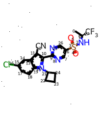 C[C@H](NS(=O)(=O)c1cnc(-c2c(C#N)c3cc(Cl)ccc3n2C2CCC2)nc1)C(F)(F)F